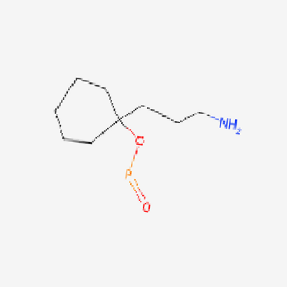 NCCCC1(OP=O)CCCCC1